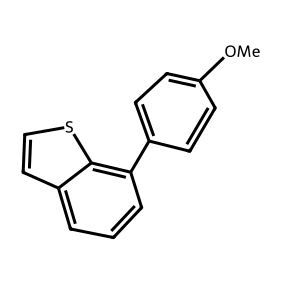 COc1ccc(-c2cccc3ccsc23)cc1